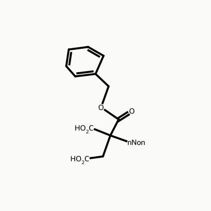 CCCCCCCCCC(CC(=O)O)(C(=O)O)C(=O)OCc1ccccc1